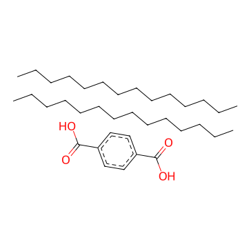 CCCCCCCCCCCCCC.CCCCCCCCCCCCCC.O=C(O)c1ccc(C(=O)O)cc1